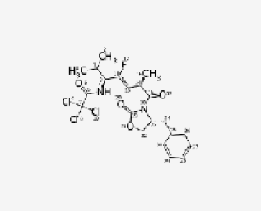 CC(C)[C@H](NC(=O)C(Cl)(Cl)Cl)/C(F)=C/[C@@H](C)C(=O)N1C(=O)OC[C@H]1Cc1ccccc1